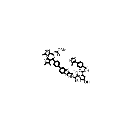 COC(=O)C[C@@H]1N=C(c2ccc(-c3ccc4nc(C(=O)NC(C(=O)N5C[C@H](O)C[C@H]5C(=O)N[C@@H](C)c5ccc(-c6scnc6C)cc5)C(C)(C)C)sc4c3)cc2)c2c(sc(C)c2C)-n2c(C)nnc21